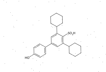 O=S(=O)(O)c1c(C2CCCCC2)cc(-c2ccc(O)cc2)cc1C1CCCCC1